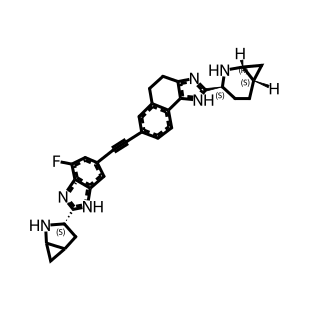 Fc1cc(C#Cc2ccc3c(c2)CCc2nc([C@@H]4CC[C@H]5C[C@H]5N4)[nH]c2-3)cc2[nH]c([C@@H]3CC4CC4N3)nc12